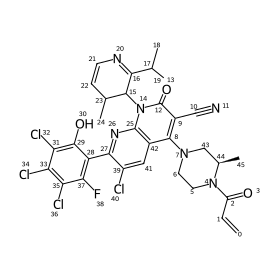 C=CC(=O)N1CCN(c2c(C#N)c(=O)n(C3C(C(C)C)=NC=CC3C)c3nc(-c4c(O)c(Cl)c(Cl)c(Cl)c4F)c(Cl)cc23)C[C@H]1C